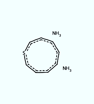 N.N.c1ccccsccc1